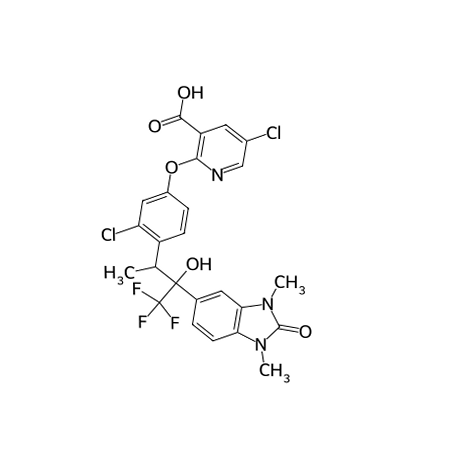 CC(c1ccc(Oc2ncc(Cl)cc2C(=O)O)cc1Cl)C(O)(c1ccc2c(c1)n(C)c(=O)n2C)C(F)(F)F